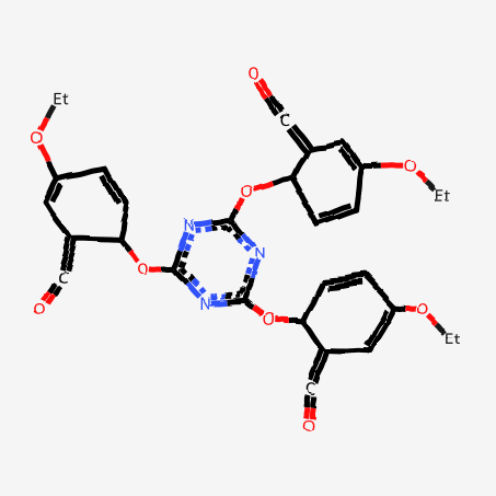 CCOC1=CC(=C=O)C(Oc2nc(OC3C=CC(OCC)=CC3=C=O)nc(OC3C=CC(OCC)=CC3=C=O)n2)C=C1